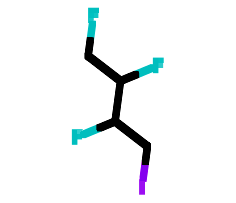 FCC(F)C(F)CI